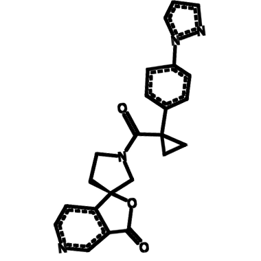 O=C1O[C@]2(CCN(C(=O)C3(c4ccc(-n5cccn5)cc4)CC3)C2)c2ccncc21